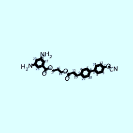 N#COc1ccc(-c2ccc(/C=C/C(=O)OCCCOC(=O)c3cc(N)cc(N)c3)cc2)cc1